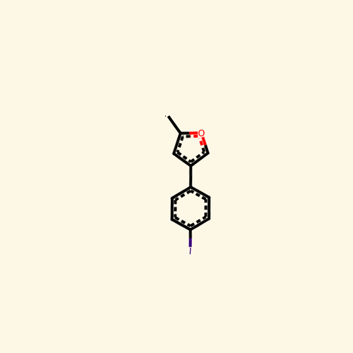 [CH2]c1cc(-c2ccc(I)cc2)co1